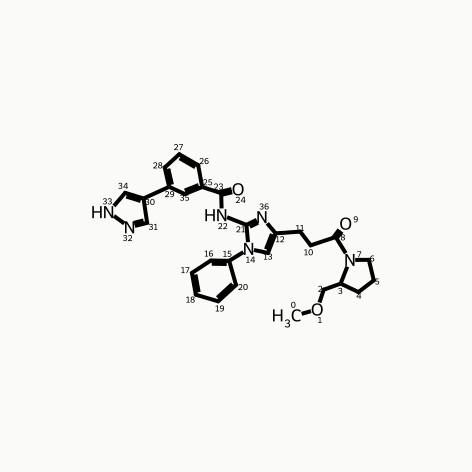 COCC1CCCN1C(=O)CCc1cn(-c2ccccc2)c(NC(=O)c2cccc(-c3cn[nH]c3)c2)n1